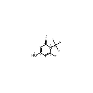 Cc1cc(O)cc(=O)n1C(C)(C)C